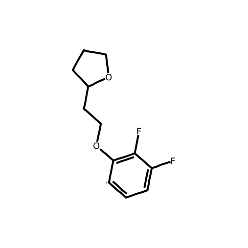 Fc1cc[c]c(OCCC2CCCO2)c1F